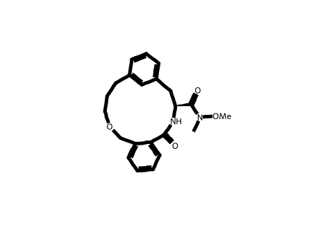 CON(C)C(=O)[C@@H]1Cc2cccc(c2)CCCOCc2ccccc2C(=O)N1